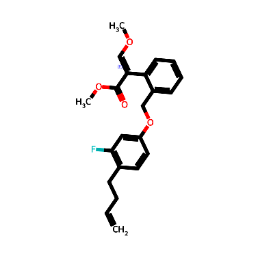 C=CCCc1ccc(OCc2ccccc2/C(=C\OC)C(=O)OC)cc1F